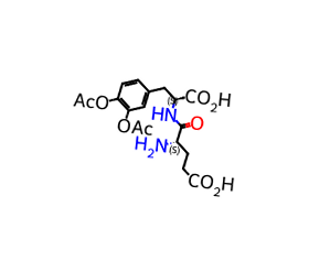 CC(=O)Oc1ccc(C[C@H](NC(=O)[C@@H](N)CCC(=O)O)C(=O)O)cc1OC(C)=O